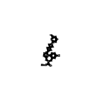 COC(=O)N1Cc2cc(Cl)ccc2-n2c(nnc2C2CC3(C2)CN(c2cccc(C)n2)C3)C1